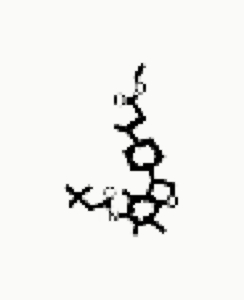 CCOC(=O)/C=C(\C)c1ccc(C2COc3c(C)c(C)c(NC(=O)CC(C)(C)C)c(C)c32)cc1